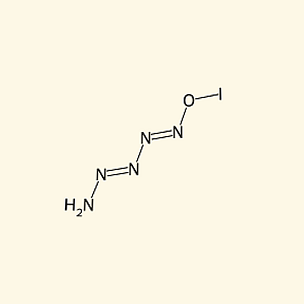 NN=NN=NOI